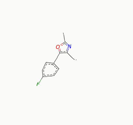 [CH2]c1nc(C)oc1-c1ccc(F)cc1